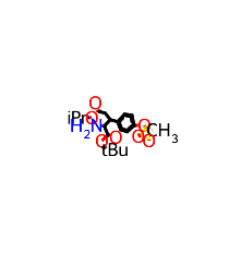 CC(C)OC(=O)CC(c1ccc(OS(C)(=O)=O)cc1)C(N)C(=O)OC(C)(C)C